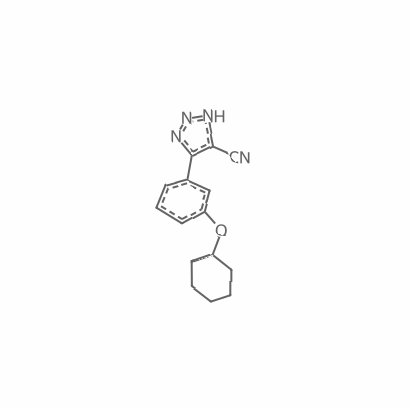 N#Cc1[nH]nnc1-c1cccc(OC2CCCCC2)c1